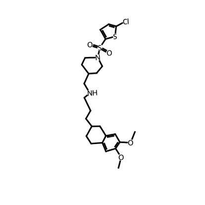 COc1cc2c(cc1OC)CC(CCCNCC1CCN(S(=O)(=O)c3ccc(Cl)s3)CC1)CC2